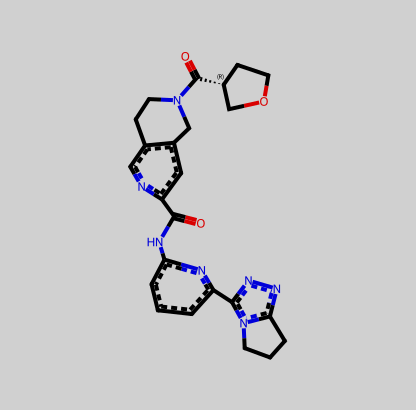 O=C(Nc1cccc(-c2nnc3n2CCC3)n1)c1cc2c(cn1)CCN(C(=O)[C@@H]1CCOC1)C2